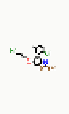 Cc1ccc(Cl)cc1.Sc1nc2ccc(OCCCCBr)cc2s1